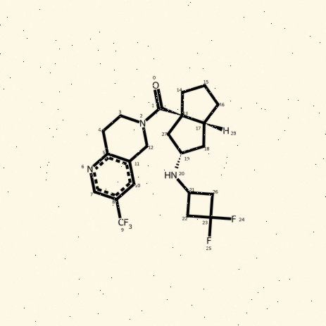 O=C(N1CCc2ncc(C(F)(F)F)cc2C1)[C@@]12CCC[C@@H]1C[C@H](NC1CC(F)(F)C1)C2